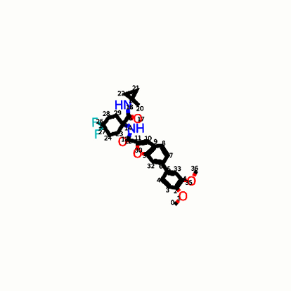 COc1ccc(-c2ccc3cc(C(=O)NC4(C(=O)NC5(C)CC5)CCC(F)(F)CC4)oc3c2)cc1OC